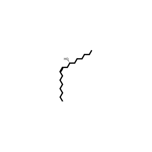 [CH2]CCCCCC/C=C\C[C@H](O)CCCCCC